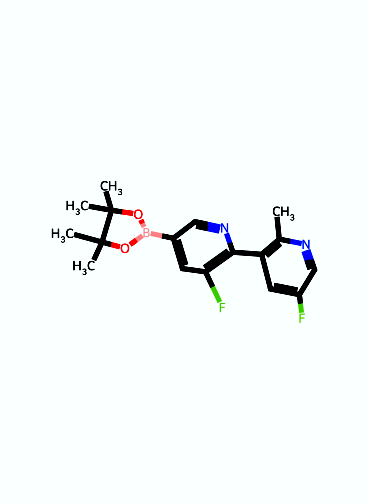 Cc1ncc(F)cc1-c1ncc(B2OC(C)(C)C(C)(C)O2)cc1F